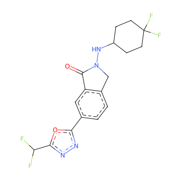 O=C1c2cc(-c3nnc(C(F)F)o3)ccc2CN1NC1CCC(F)(F)CC1